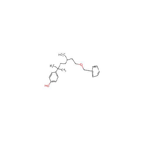 CC(C)(CCC(CCOCc1ccccc1)C(=O)O)c1ccc(O)cc1